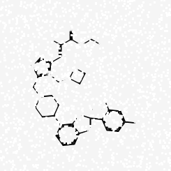 CCOC(=O)/C(C)=C/c1cnc(CN2CCC(c3cccc4c3O[C@@](C)(c3ccc(Cl)cc3F)O4)CC2)n1C[C@@H]1CCO1